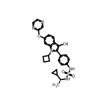 C[C@H](NS(=O)(=O)Nc1ccc(-c2c(C#N)c3ccc(Oc4cnccn4)cc3n2C2CCC2)cc1)C1CC1